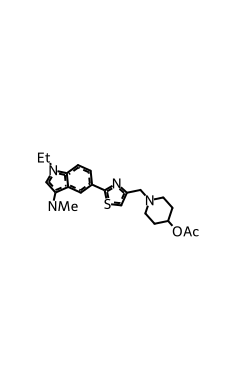 CCn1cc(NC)c2cc(-c3nc(CN4CCC(OC(C)=O)CC4)cs3)ccc21